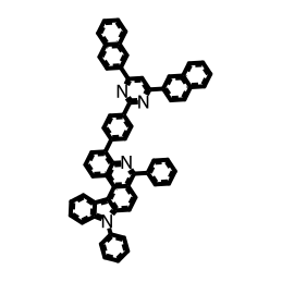 c1ccc(-c2nc3c(-c4ccc(-c5nc(-c6ccc7ccccc7c6)cc(-c6ccc7ccccc7c6)n5)cc4)cccc3c3c2ccc2c3c3ccccc3n2-c2ccccc2)cc1